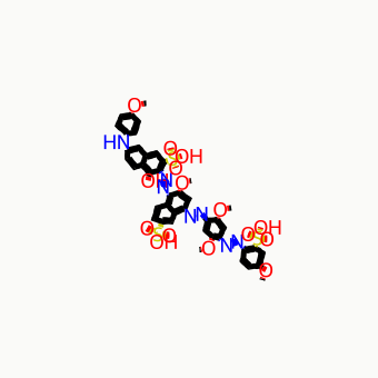 COc1ccc(Nc2ccc3c(O)c(N=Nc4c(OC)cc(N=Nc5cc(OC)c(N=Nc6ccc(OC)cc6S(=O)(=O)O)cc5OC)c5cc(S(=O)(=O)O)ccc45)c(S(=O)(=O)O)cc3c2)cc1